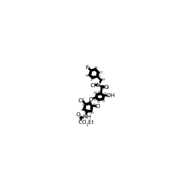 CCOC(=O)C(=O)Nc1cc(Cl)c(Oc2ccc(O)c(C(=O)N(Cl)Cc3ccc(F)cc3)c2)c(Cl)c1